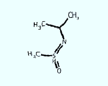 CC(C)/N=[SH](\C)=O